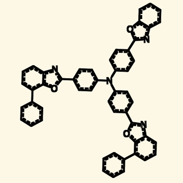 c1ccc(-c2cccc3nc(-c4ccc(N(c5ccc(-c6nc7ccccc7o6)cc5)c5ccc(-c6nc7cccc(-c8ccccc8)c7o6)cc5)cc4)oc23)cc1